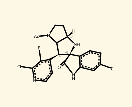 CC(=O)N1CC[C@@H]2N[C@@]3(C(=O)Nc4cc(Cl)ccc43)[C@@H](c3ccnc(Cl)c3F)C21